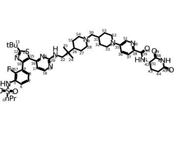 CCCS(=O)(=O)Nc1cccc(-c2nc(C(C)(C)C)sc2-c2ccnc(NCC(C)(C)C3CCN(CC4CCN(c5ccc(C(=O)N[C@H]6CCC(=O)NC6=O)nc5)CC4)CC3)n2)c1F